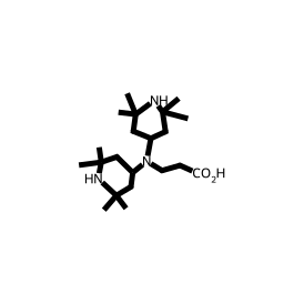 CC1(C)CC(N(CCC(=O)O)C2CC(C)(C)NC(C)(C)C2)CC(C)(C)N1